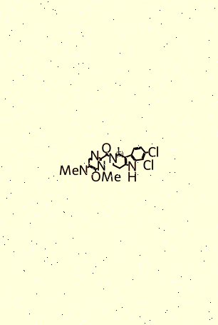 CNc1cnc(C(=O)N2CCc3[nH]c4c(Cl)c(Cl)ccc4c3[C@@H]2C)nc1OC